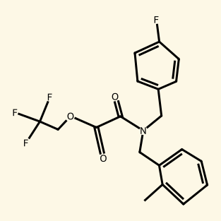 Cc1ccccc1CN(Cc1ccc(F)cc1)C(=O)C(=O)OCC(F)(F)F